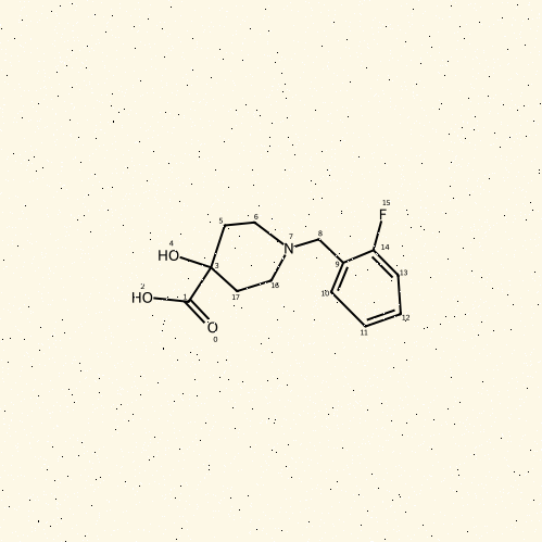 O=C(O)C1(O)CCN(Cc2ccccc2F)CC1